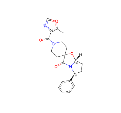 Cc1ocnc1C(=O)N1CCC2(CC1)O[C@@H]1CC[C@@H](c3ccccc3)N1C2=O